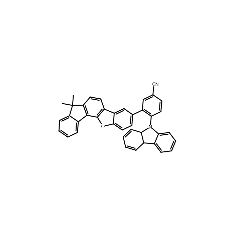 CC1(C)c2ccccc2-c2c1ccc1c2oc2ccc(-c3cc(C#N)ccc3N3c4ccccc4C4C=CC=CC43)cc21